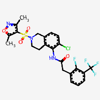 Cc1noc(C)c1S(=O)(=O)N1CCc2c(ccc(Cl)c2NC(=O)Cc2cccc(C(F)(F)F)c2F)C1